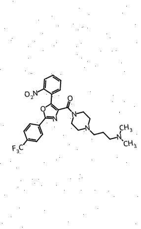 CN(C)CCCN1CCN(C(=O)c2nc(-c3ccc(C(F)(F)F)cc3)oc2-c2ccccc2[N+](=O)[O-])CC1